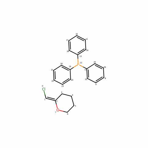 Cl/C=C1\CCCCO1.c1ccc(P(c2ccccc2)c2ccccc2)cc1